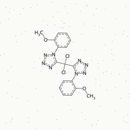 COc1ccccc1-n1nnnc1C(Cl)(Cl)c1nnnn1-c1ccccc1OC